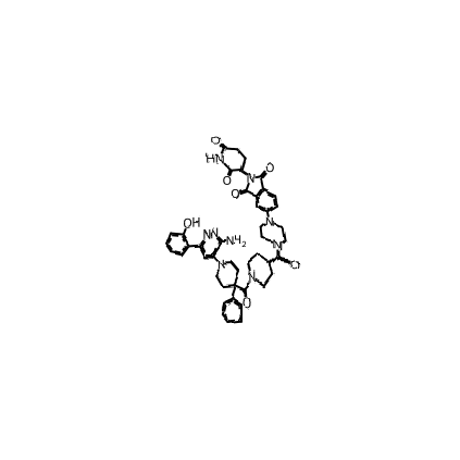 Nc1nnc(-c2ccccc2O)cc1N1CCC(C(=O)N2CCC(C(=O)N3CCN(c4ccc5c(c4)C(=O)N(C4CCC(=O)NC4=O)C5=O)CC3)CC2)(c2ccccc2)CC1